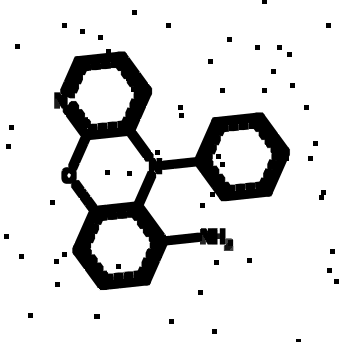 Nc1cccc2c1N(c1ccccc1)c1cccnc1O2